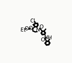 CCOCOC1CCCN(C(=O)c2ccc(NC(=O)c3ccccc3C)cc2C)c2ccc(Cl)cc21